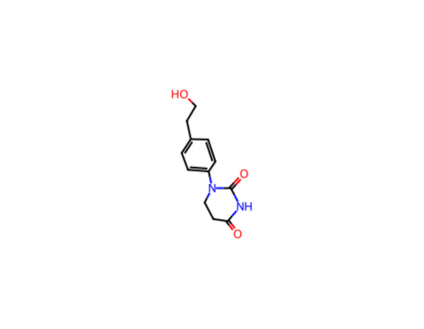 O=C1CCN(c2ccc(CCO)cc2)C(=O)N1